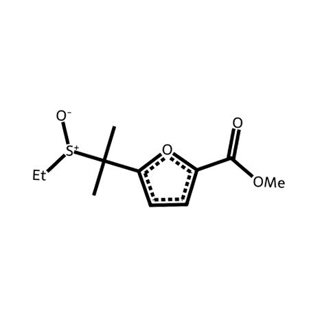 CC[S+]([O-])C(C)(C)c1ccc(C(=O)OC)o1